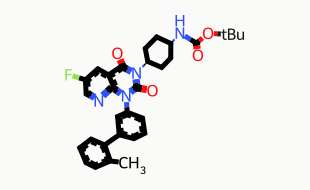 Cc1ccccc1-c1cccc(-n2c(=O)n([C@H]3CC[C@@H](NC(=O)OC(C)(C)C)CC3)c(=O)c3cc(F)cnc32)c1